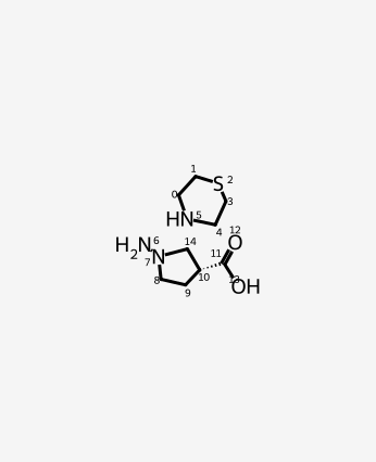 C1CSCCN1.NN1CC[C@@H](C(=O)O)C1